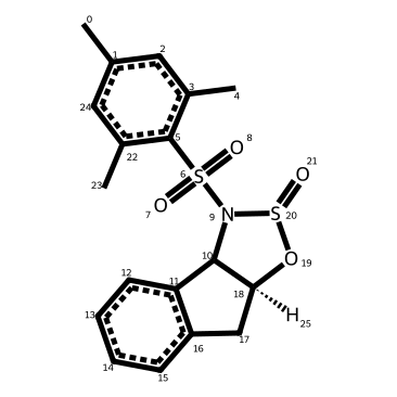 Cc1cc(C)c(S(=O)(=O)N2C3c4ccccc4C[C@@H]3OS2=O)c(C)c1